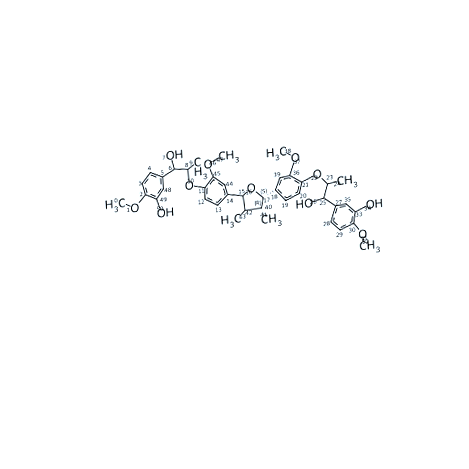 COc1ccc(C(O)C(C)Oc2ccc(C3O[C@H](c4ccc(OC(C)C(O)c5ccc(OC)c(O)c5)c(OC)c4)[C@H](C)C3C)cc2OC)cc1O